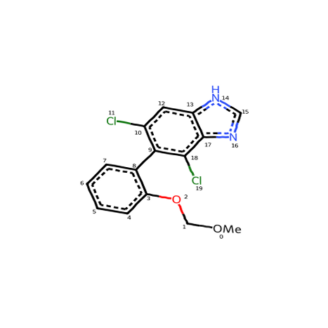 COCOc1ccccc1-c1c(Cl)cc2[nH]cnc2c1Cl